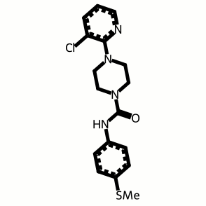 CSc1ccc(NC(=O)N2CCN(c3ncccc3Cl)CC2)cc1